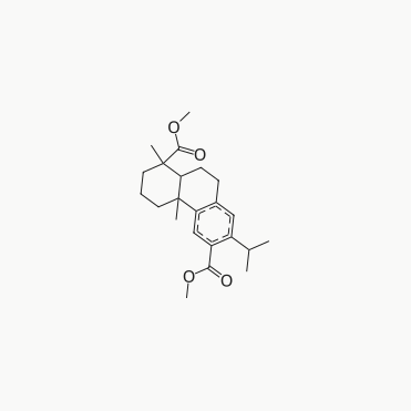 COC(=O)c1cc2c(cc1C(C)C)CCC1C(C)(C(=O)OC)CCCC21C